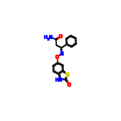 NC(=O)C/C(=N\Oc1ccc2[nH]c(=O)sc2c1)c1ccccc1